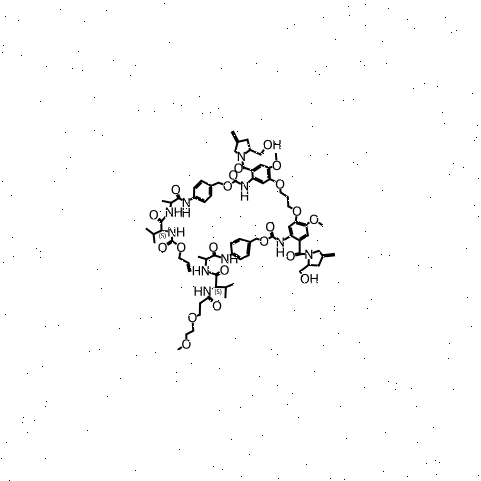 C=CCOC(=O)N[C@H](C(=O)NC(C)C(=O)Nc1ccc(COC(=O)Nc2cc(OCCCOc3cc(NC(=O)OCc4ccc(NC(=O)C(C)NC(=O)[C@@H](NC(=O)CCOCCOC)C(C)C)cc4)c(C(=O)N4CC(=C)CC4CO)cc3OC)c(OC)cc2C(=O)N2CC(=C)CC2CO)cc1)C(C)C